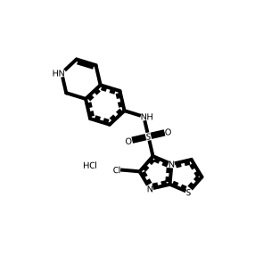 Cl.O=S(=O)(Nc1ccc2c(c1)C=CNC2)c1c(Cl)nc2sccn12